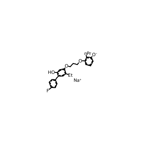 CCCc1c([O-])cccc1OCCCOc1cc(O)c(-c2ccc(F)cc2)cc1CC.[Na+]